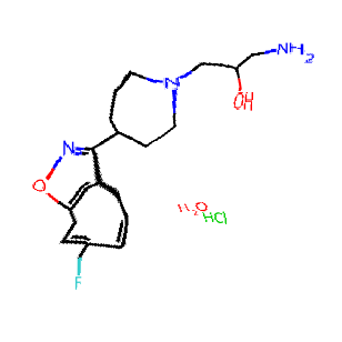 Cl.NCC(O)CN1CCC(c2noc3cc(F)ccc23)CC1.O